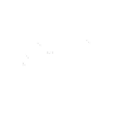 CN1CCCC(Oc2ccc3nc(-c4n[nH]c5cc6c(cc45)OCO6)[nH]c3c2)C1